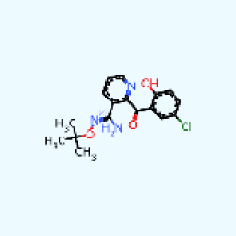 CC(C)(C)O/N=C(\N)c1cccnc1C(=O)c1cc(Cl)ccc1O